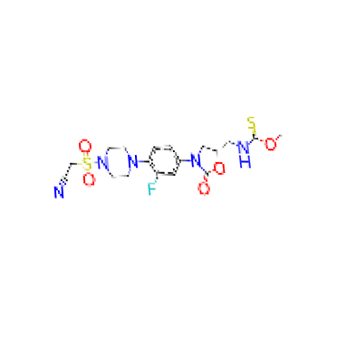 COC(=S)NC[C@H]1CN(c2ccc(N3CCN(S(=O)(=O)CC#N)CC3)c(F)c2)C(=O)O1